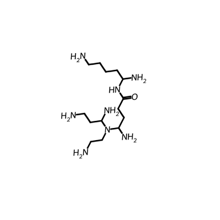 NCCCCC(N)NC(=O)CCC(N)N(CCN)C(N)CCN